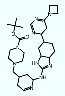 CC(C)(C)OC(=O)N1CCN(CC2CC=NC(NC3=NC4CCC(C5CC(N6CCC6)=NC=N5)CC4N3)C2)CC1